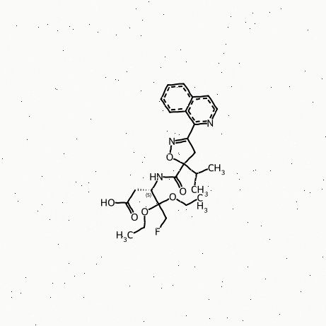 CCOC(CF)(OCC)[C@H](CC(=O)O)NC(=O)C1(C(C)C)CC(c2nccc3ccccc23)=NO1